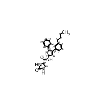 CCCCc1cccc(-c2cc(NC(=O)[C@@H]3CNC(=O)N3)nn2-c2ccccc2)c1